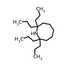 CCCC1(CCC)CCCCCC(CCC)(CCC)N1